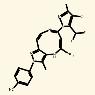 Cc1nn(-c2cc(N)[nH]c3c(C)n(-c4ccc(C#N)cc4)nc3ccn2)c(C(F)F)c1Cl